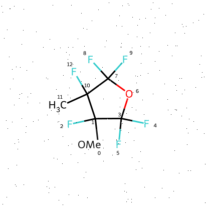 COC1(F)C(F)(F)OC(F)(F)C1(C)F